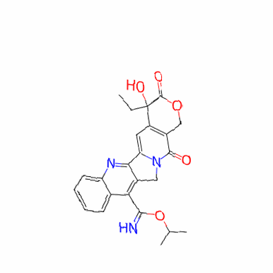 CCC1(O)C(=O)OCc2c1cc1n(c2=O)Cc2c-1nc1ccccc1c2C(=N)OC(C)C